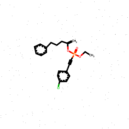 C=C(CCCc1ccccc1)OP(=O)(C#Cc1ccc(Cl)cc1)OCC